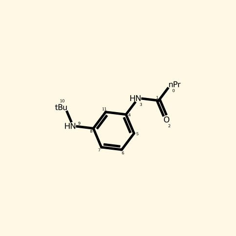 CCCC(=O)Nc1cccc(NC(C)(C)C)c1